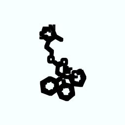 Cc1ncsc1CCOC(=O)CP(Br)(c1ccccc1)(c1ccccc1)c1ccccc1